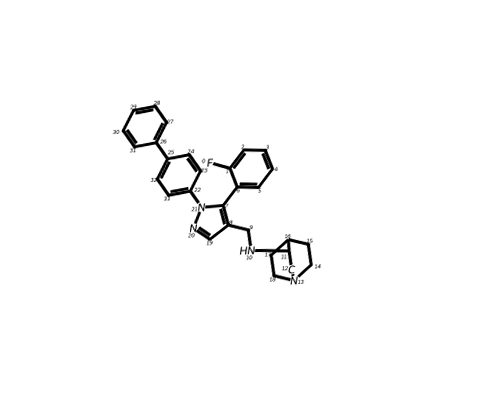 Fc1ccccc1-c1c(CNC2CN3CCC2CC3)cnn1-c1ccc(-c2ccccc2)cc1